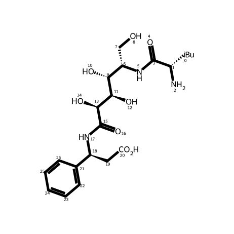 CCC(C)[C@H](N)C(=O)N[C@@H](CO)[C@@H](O)[C@@H](O)[C@H](O)C(=O)N[C@@H](CC(=O)O)c1ccccc1